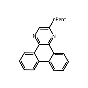 CCCCCc1cnc2c3ccccc3c3ccccc3c2n1